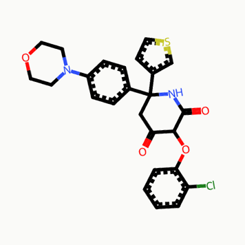 O=C1CC(c2ccc(N3CCOCC3)cc2)(c2ccsc2)NC(=O)C1Oc1ccccc1Cl